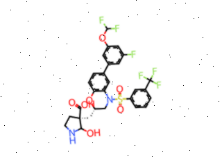 O=C(O)[C@]1(C[C@H]2CN(S(=O)(=O)c3cccc(C(F)(F)F)c3)c3cc(-c4cc(F)cc(OC(F)F)c4)ccc3O2)CCNC1O